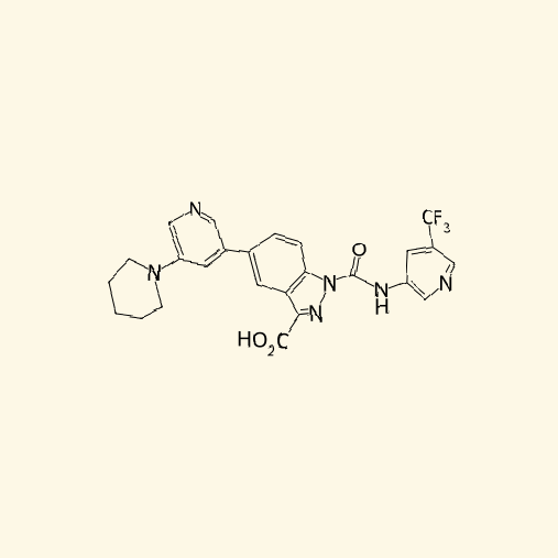 O=C(O)c1nn(C(=O)Nc2cncc(C(F)(F)F)c2)c2ccc(-c3cncc(N4CCCCC4)c3)cc12